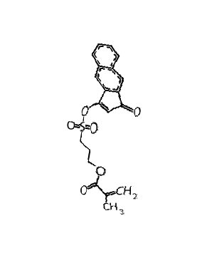 C=C(C)C(=O)OCCCS(=O)(=O)OC1=CC(=O)c2cc3ccccc3cc21